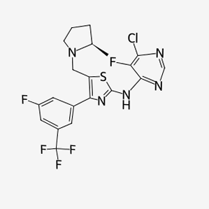 C[C@@H]1CCCN1Cc1sc(Nc2ncnc(Cl)c2F)nc1-c1cc(F)cc(C(F)(F)F)c1